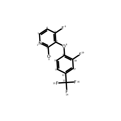 [O]c1nccc(F)c1Oc1ccc(C(F)(F)F)cc1F